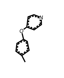 Cc1ccc(Oc2ccncc2)cc1